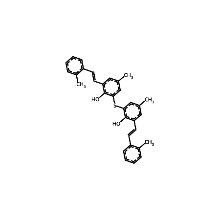 Cc1cc(/C=C/c2ccccc2C)c(O)c(Sc2cc(C)cc(/C=C/c3ccccc3C)c2O)c1